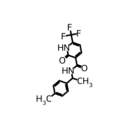 Cc1ccc(C(C)NC(=O)c2ccc(C(F)(F)F)[nH]c2=O)cc1